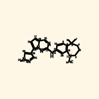 CC(=O)N1CCCC(C)(C)c2ccc(Nc3ncc4ccc(-c5cnn(C)c5)n4n3)cc21